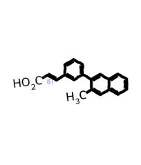 Cc1cc2ccccc2cc1-c1cccc(/C=C/C(=O)O)c1